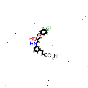 O=C(O)CCc1cccc(NCC(O)COc2ccc(Cl)cc2)c1